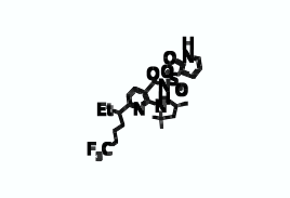 CCC(CCCC(F)(F)F)c1ccc(C(=O)NS(=O)(=O)c2ccc[nH]c2=O)c(N2C[C@@H](C)CC2(C)C)n1